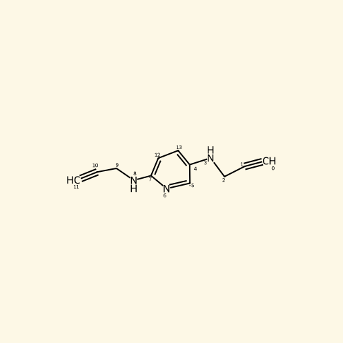 C#CCNc1[c]nc(NCC#C)cc1